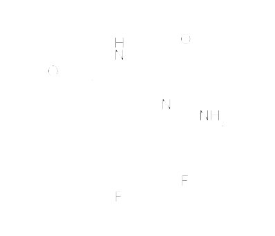 Nn1c(C(F)F)cc(=O)[nH]c1=O